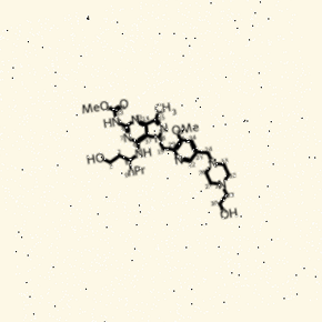 CCC[C@@H](CCO)Nc1nc(NC(=O)OC)nc2c(C)nn(Cc3ncc(CN4CCN(CCO)CC4)cc3OC)c12